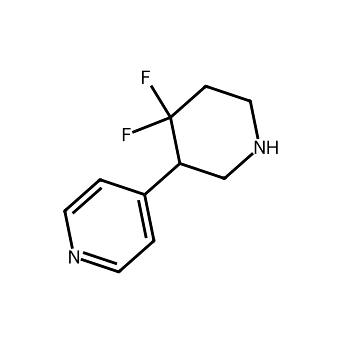 FC1(F)CCNCC1c1ccncc1